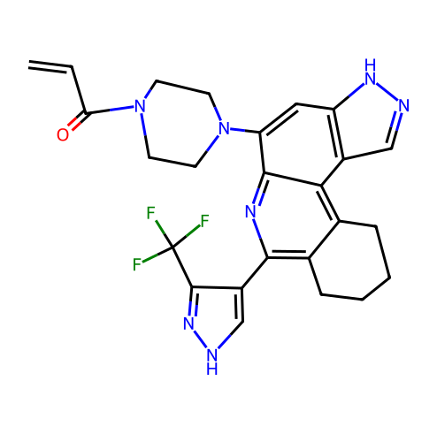 C=CC(=O)N1CCN(c2cc3[nH]ncc3c3c4c(c(-c5c[nH]nc5C(F)(F)F)nc23)CCCC4)CC1